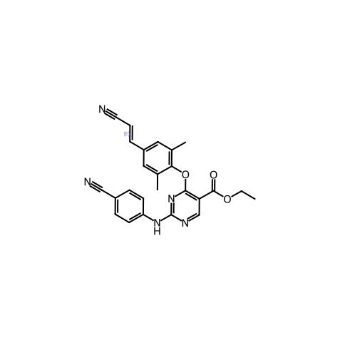 CCOC(=O)c1cnc(Nc2ccc(C#N)cc2)nc1Oc1c(C)cc(/C=C/C#N)cc1C